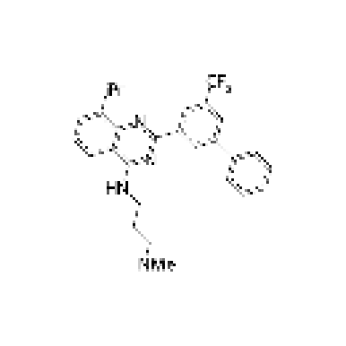 CNCCCNc1nc(-c2cc(-c3ccccc3)cc(C(F)(F)F)c2)nc2c(C(C)C)cccc12